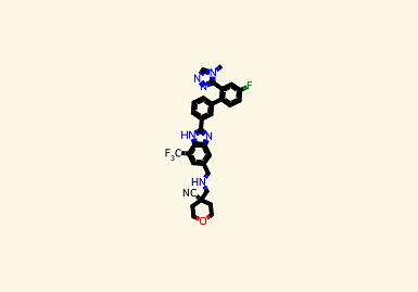 Cn1cnnc1-c1cc(F)ccc1-c1cccc(-c2nc3cc(CNCC4(C#N)CCOCC4)cc(C(F)(F)F)c3[nH]2)c1